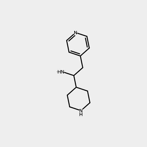 [NH]C(Cc1ccncc1)C1CCNCC1